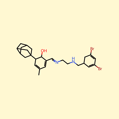 CC1=CC(C23CC4CC(C2)C(C4)C3)C(O)C(/C=N/CCNCC2C=C(Br)C=C(Br)C2)=C1